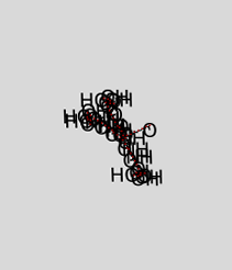 CC(=O)CCCCCCCCCCC(=O)NC(COCCC(=O)NCCCNC(=O)CCCCOC1OC(CO)C(O)C(O)C1NC(C)=O)(COCCC(=O)NCCCNC(=O)CCCCOC1OC(CO)C(O)C(O)C1NC(C)=O)COCCC(=O)NCCCNC(=O)CCCCOC1OC(CO)C(O)C(O)C1NC(C)=O